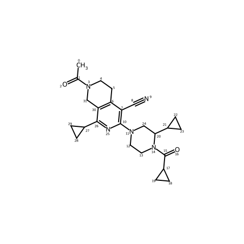 CC(=O)N1CCc2c(C#N)c(N3CCN(C(=O)C4CC4)C(C4CC4)C3)nc(C3CC3)c2C1